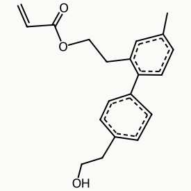 C=CC(=O)OCCc1cc(C)ccc1-c1ccc(CCO)cc1